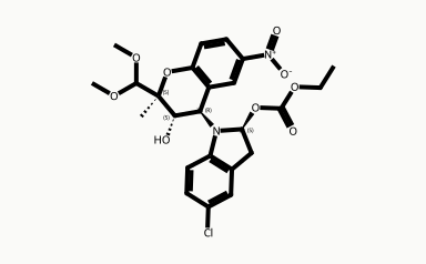 CCOC(=O)O[C@H]1Cc2cc(Cl)ccc2N1[C@@H]1c2cc([N+](=O)[O-])ccc2O[C@](C)(C(OC)OC)[C@H]1O